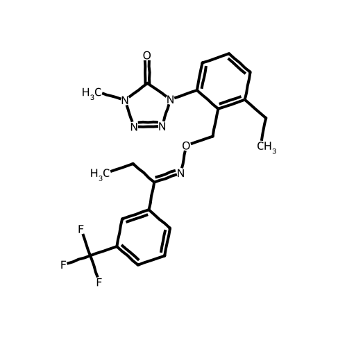 CCC(=NOCc1c(CC)cccc1-n1nnn(C)c1=O)c1cccc(C(F)(F)F)c1